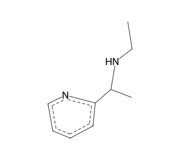 CCNC(C)c1ccccn1